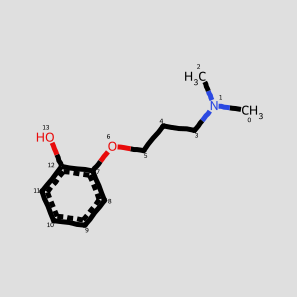 CN(C)CCCOc1ccccc1O